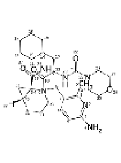 Cc1nc(N)ccc1C[N+]1(C(=O)[C@@H](CC2CCCCC2)NC(=O)N2CCOCC2)CCC[C@@H]2C[C@@]21C(N)=O